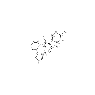 CN1NNCC1C1CCN=CC1NC(=O)C1C(N)NN2CC(F)CNC12